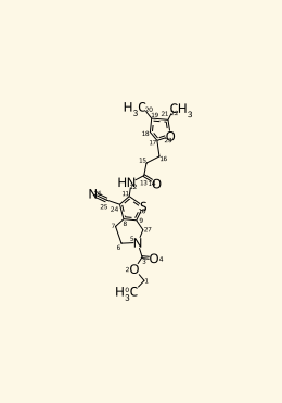 CCOC(=O)N1CCc2c(sc(NC(=O)CCc3cc(C)c(C)o3)c2C#N)C1